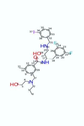 CCCN(CCO)Cc1cc(C)cc(C(=O)N[C@@H](Cc2cc(F)cc(F)c2)[C@H](O)CNCc2cccc(I)c2)c1